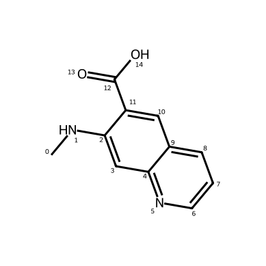 CNc1cc2ncccc2cc1C(=O)O